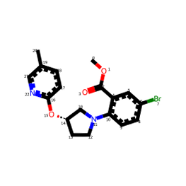 COC(=O)c1cc(Br)ccc1N1CC[C@H](Oc2ccc(C)cn2)C1